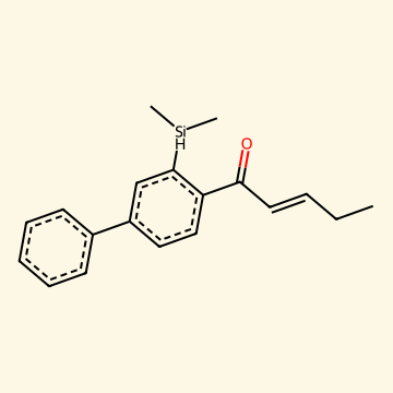 CC/C=C/C(=O)c1ccc(-c2ccccc2)cc1[SiH](C)C